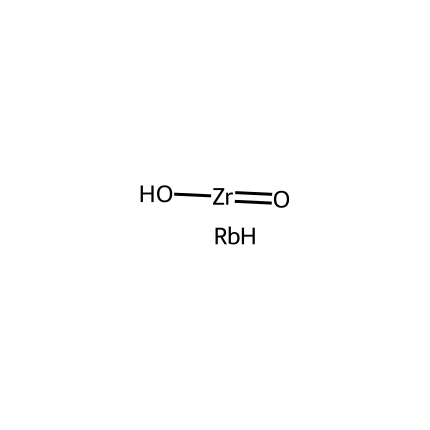 [O]=[Zr][OH].[RbH]